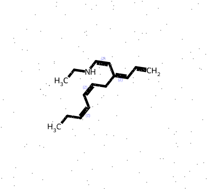 C=C/C=C(\C=C/NCC)C/C=C\C=C/CC